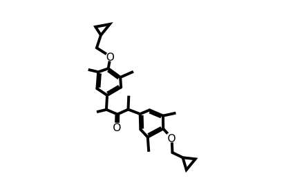 Cc1cc(C(C)C(=O)C(C)c2cc(C)c(OCC3CC3)c(C)c2)cc(C)c1OCC1CC1